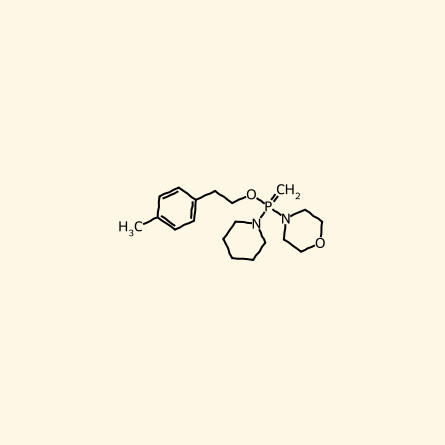 C=P(OCCc1ccc(C)cc1)(N1CCCCC1)N1CCOCC1